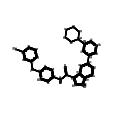 O=C(Nc1ccc(Oc2cccc(F)c2)nc1)c1n[nH]c2ccc(-c3cncc(N4CCCCC4)c3)cc12